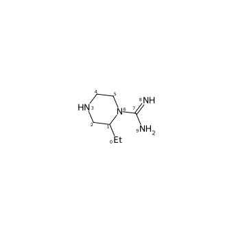 CCC1CNCCN1C(=N)N